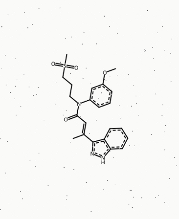 COc1cccc(N(CCCS(C)(=O)=O)C(=O)C=C(C)c2n[nH]c3ccccc23)c1